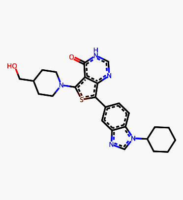 O=c1[nH]cnc2c(-c3ccc4c(c3)ncn4C3CCCCC3)sc(N3CCC(CO)CC3)c12